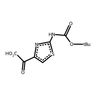 CC(C)(C)OC(=O)Nc1nc(C(=O)C(=O)O)cs1